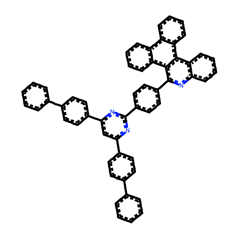 c1ccc(-c2ccc(-c3cc(-c4ccc(-c5ccccc5)cc4)nc(-c4ccc(-c5nc6ccccc6c6c7ccccc7c7ccccc7c56)cc4)n3)cc2)cc1